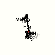 CNN(C)Cc1cc2ccccc2n1CCC(=O)NCCCCCNC(=O)CCCN(C)C(=O)c1ccccc1-c1c2ccc(=N)c(S(=O)(=O)O)c-2oc2c(S(=O)(=O)O)c(N)ccc12